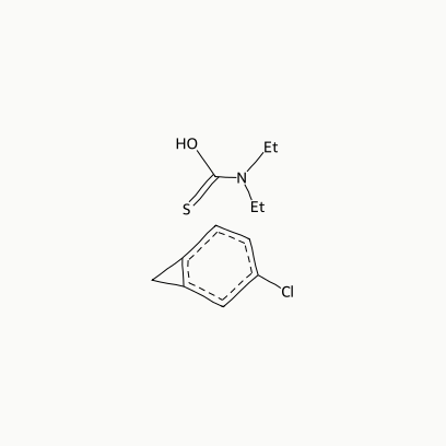 CCN(CC)C(O)=S.Clc1ccc2c(c1)C2